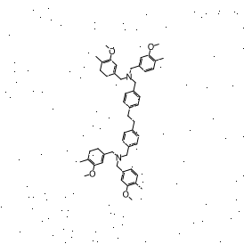 COC1=C(C)CCC(CN(Cc2ccc(CCc3ccc(CN(CC4=CC(OC)=C(C)CC4)Cc4ccc(C)c(OC)c4)cc3)cc2)Cc2ccc(C)c(OC)c2)=C1